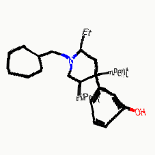 CCCCCC1CN(CC2CCCCC2)C(CC)CC1(CCCCC)c1cccc(O)c1